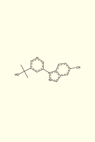 CC(C)(O)c1cncc(-n2ncc3cc(C#N)ccc32)c1